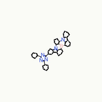 c1ccc(-c2nc(-c3ccccc3)nc(-c3ccc4c(c3)c3cccc5c3n4-c3cccc4c3B5c3cccc5c6ccccc6n-4c35)n2)cc1